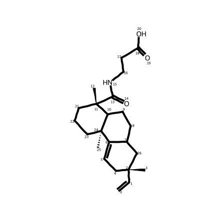 C=C[C@]1(C)CC=C2C(CCC3[C@@](C)(C(=O)NCCC(=O)O)CCC[C@]23C)C1